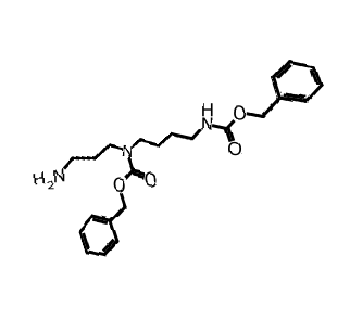 NCCCN(CCCCNC(=O)OCc1ccccc1)C(=O)OCc1ccccc1